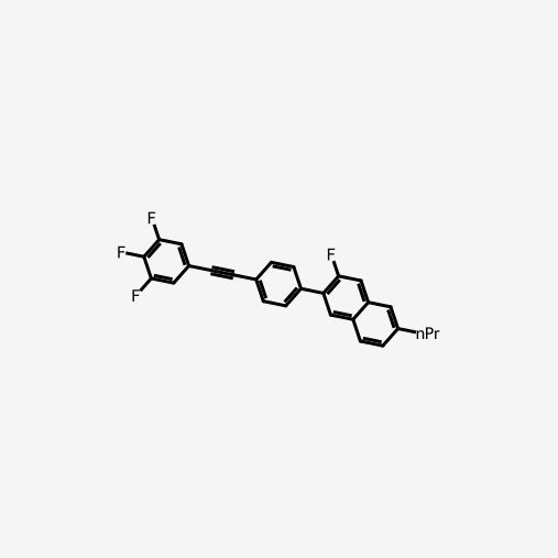 CCCc1ccc2cc(-c3ccc(C#Cc4cc(F)c(F)c(F)c4)cc3)c(F)cc2c1